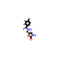 Cc1ccc([C@H](C)NC[C@H]2CNC(=O)O2)cc1